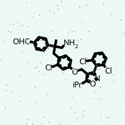 CC(C)c1onc(-c2c(Cl)cccc2Cl)c1COc1ccc(CC(C)(CN)c2ccc(C=O)cc2)c(Cl)c1